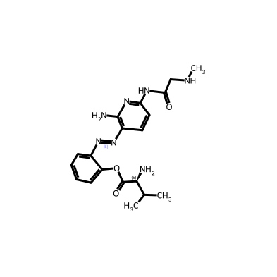 CNCC(=O)Nc1ccc(/N=N/c2ccccc2OC(=O)[C@@H](N)C(C)C)c(N)n1